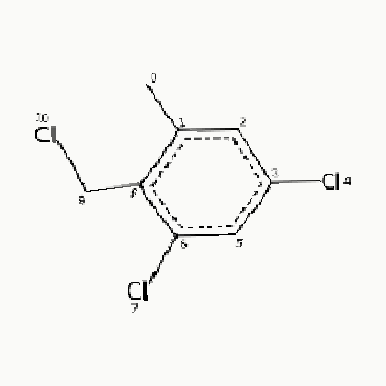 Cc1cc(Cl)cc(Cl)c1CCl